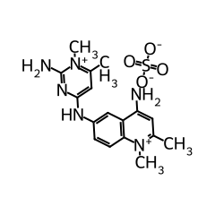 Cc1cc(Nc2ccc3c(c2)c(N)cc(C)[n+]3C)nc(N)[n+]1C.O=S(=O)([O-])[O-]